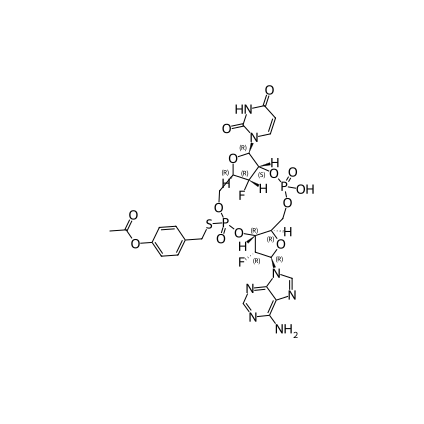 CC(=O)Oc1ccc(CSP2(=O)OC[C@H]3O[C@@H](n4ccc(=O)[nH]c4=O)[C@H](OP(=O)(O)OC[C@H]4O[C@@H](n5cnc6c(N)ncnc65)[C@H](F)[C@@H]4O2)[C@@H]3F)cc1